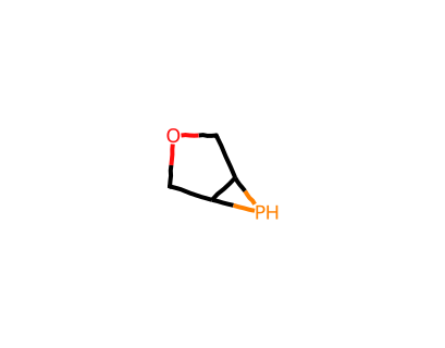 C1OCC2PC12